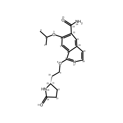 CC(C)Oc1cc2c(OCC[C@@H]3CCC(=O)N3)nccc2cc1C(N)=O